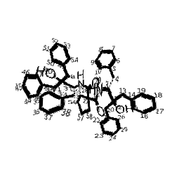 O=C(N[C@H](Cc1ccccc1)C(O)(Cc1ccccc1)Cc1ccccc1)C1(C(=O)N[C@H](Cc2ccccc2)C(O)(Cc2ccccc2)Cc2ccccc2)CCCC1